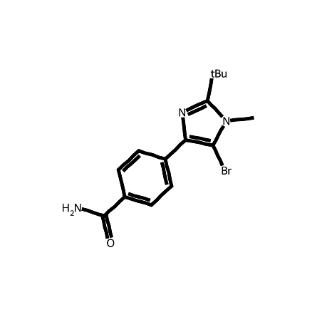 Cn1c(C(C)(C)C)nc(-c2ccc(C(N)=O)cc2)c1Br